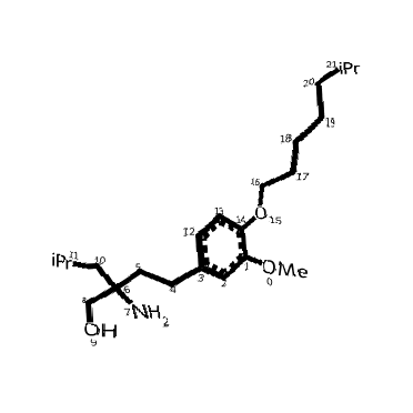 COc1cc(CCC(N)(CO)CC(C)C)ccc1OCCCCCC(C)C